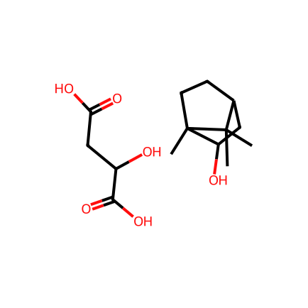 CC1(C)C2CCC1(C)C(O)C2.O=C(O)CC(O)C(=O)O